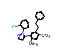 COc1cc(OC)c(-c2ccnn2-c2ccccc2Cl)cc1CCc1ccccc1